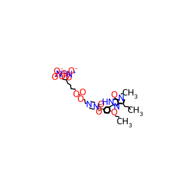 CCCOc1ccc(S(=O)(=O)N2CCN(CCOC(=O)OCCCCC(CO[N+](=O)[O-])O[N+](=O)[O-])CC2)cc1-c1nc2c(CCC)cn(CC)c2c(=O)[nH]1